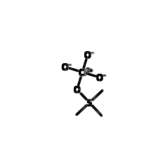 CS(C)(C)O[Cl+3]([O-])([O-])[O-]